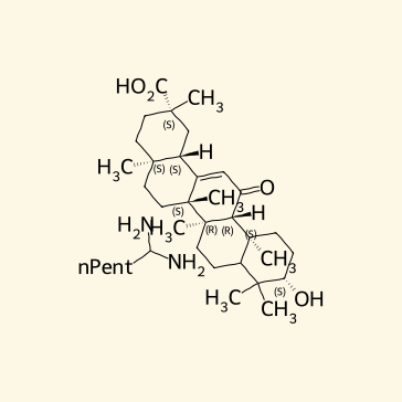 CC1(C)C2CC[C@]3(C)[C@H](C(=O)C=C4[C@H]5C[C@@](C)(C(=O)O)CC[C@]5(C)CC[C@]43C)[C@@]2(C)CC[C@@H]1O.CCCCCC(N)N